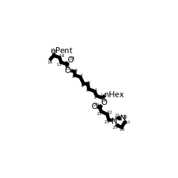 CCCCCCC(CCCCCCCCOC(=O)CCC(C)CCCCC)OC(=O)CCCN1C=NCCC1